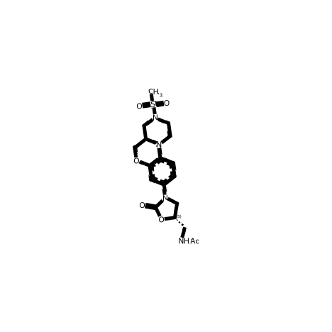 CC(=O)NC[C@H]1CN(c2ccc3c(c2)OCC2CN(S(C)(=O)=O)CCN32)C(=O)O1